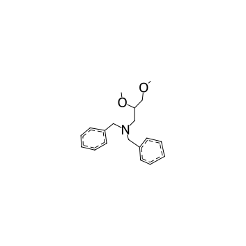 COCC(CN(Cc1ccccc1)Cc1ccccc1)OC